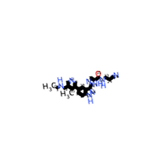 CCNCc1cncc(-c2ccc3[nH]nc(-c4ncc(C(=O)NCCC#N)[nH]4)c3c2)c1C